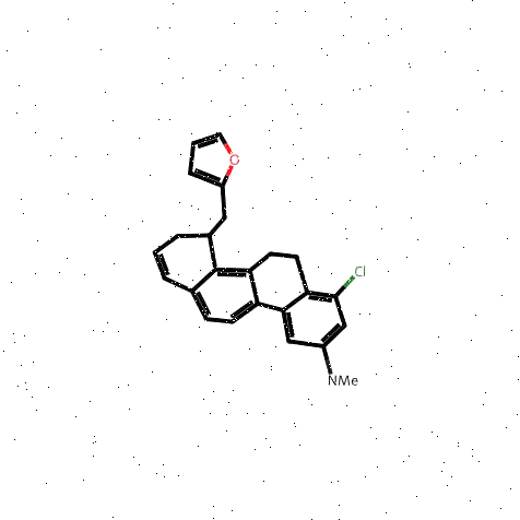 CNc1cc(Cl)c2c(c1)-c1ccc3c(c1CC2)C(Cc1ccco1)CC=C3